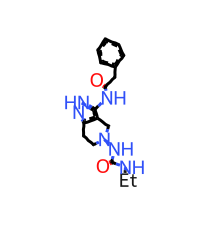 CCNC(=O)NN1CCc2n[nH]c(NC(=O)Cc3ccccc3)c2C1